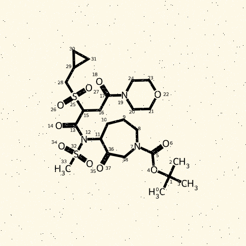 CC(C)(C)OC(=O)N1CCCC(N(C(=O)C(CC(=O)N2CCOCC2)S(=O)(=O)CC2CC2)S(C)(=O)=O)C(=O)C1